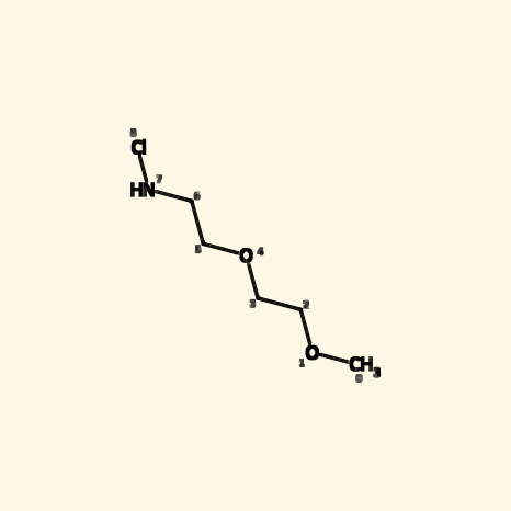 COCCOCCNCl